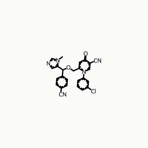 Cn1cncc1C(OCc1cc(=O)c(C#N)cn1-c1cccc(Cl)c1)c1ccc(C#N)cc1